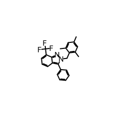 Cc1cc(C)c(Cn2nc3c(C(F)(F)F)cccc3c2-c2ccccc2)c(C)c1